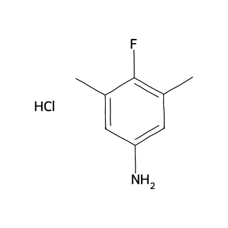 Cc1cc(N)cc(C)c1F.Cl